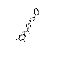 Cc1cc(C)nc(NC(=S)N2CCN(c3ccc(-c4ccccc4)cc3)CC2)c1